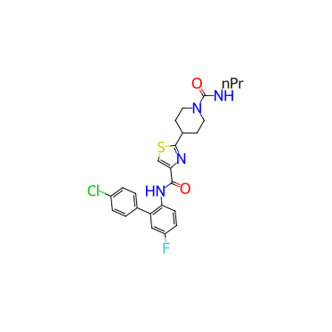 CCCNC(=O)N1CCC(c2nc(C(=O)Nc3ccc(F)cc3-c3ccc(Cl)cc3)cs2)CC1